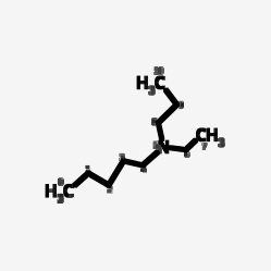 CCCCCN(CC)CCC